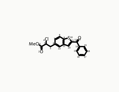 COC(=O)C(Cl)Cc1ccc2sc(C(=O)c3ccccc3)cc2c1